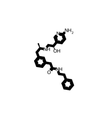 C[C@H](Cc1cccc(CC(=O)NCCc2ccccc2)c1)NC[C@@H](O)c1ccc(N)nc1